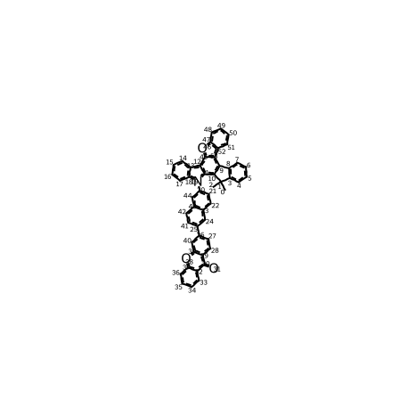 CC1(C)c2ccccc2-c2c1c1c(c3ccccc3n1-c1ccc3cc(-c4ccc5c(=O)c6ccccc6oc5c4)ccc3c1)c1oc3ccccc3c21